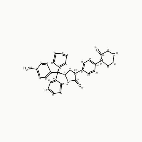 Nc1ccc(C(c2ccccc2)(c2ccccc2)[C@H]2CN(c3ccc(N4CCOCC4=O)cc3)C(=O)O2)cc1